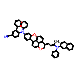 C/C(=C\C=C1/COc2ccc3c4c(ccc1c24)Oc1cc(N(c2ccccc2)c2ccc(C#N)cc2-c2ccccc2)ccc1-3)N(c1ccccc1)c1ccc2ccccc2c1